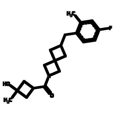 Cc1cc(F)ccc1CC1CC2(C1)CN(C(=O)C1CC(C)(O)C1)C2